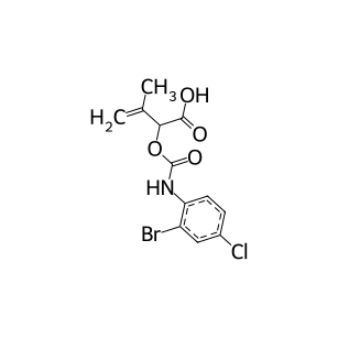 C=C(C)C(OC(=O)Nc1ccc(Cl)cc1Br)C(=O)O